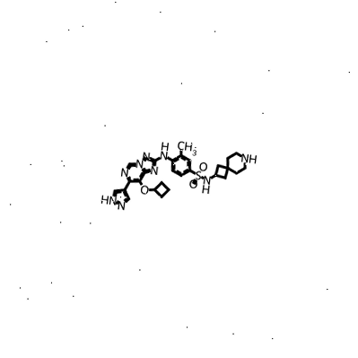 Cc1cc(S(=O)(=O)NC2CC3(CCNCC3)C2)ccc1Nc1nc2c(OC3CCC3)c(-c3cn[nH]c3)ncn2n1